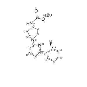 CC(C)(C)OC(=O)NC1CCN(c2cncc(-c3ccccc3F)n2)CC1